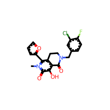 Cn1c(-c2ccco2)c2c(c(O)c1=O)C(=O)N(Cc1ccc(F)c(Cl)c1)CC2